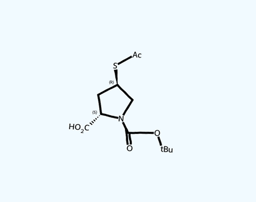 CC(=O)S[C@@H]1C[C@@H](C(=O)O)N(C(=O)OC(C)(C)C)C1